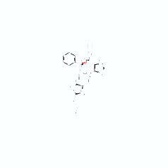 CCCCc1nc(Cl)c(CN(NC(=O)c2ccccc2)c2nc[nH]c2C(N)=O)[nH]1